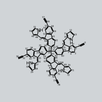 C#Cc1ccc2c(c1)/C(=C\c1ccc[nH]1)c1cc(C(c3ccc4c(c3)/C(=C/c3ccc[nH]3)c3cc(C#C)ccc3-4)(c3ccc4c(c3)/C(=C/c3ccc[nH]3)c3cc(C#C)ccc3-4)c3ccc4c(c3)/C(=C/c3ccc[nH]3)c3cc(C#C)ccc3-4)ccc1-2